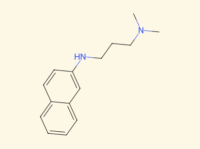 CN(C)CCCNc1ccc2ccccc2c1